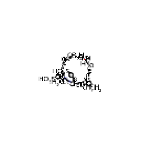 CCC1(C)C2=[N+](CCCCCC(=O)NCC(=O)NCCCCC(C(=O)O)NC(=O)CCCCCN3/C(=C/C=C4\CCCC(=C4Oc4ccc(S(=O)(=O)O)cc4)/C=C/2)C(C)(CC)c2cc(S(=O)(=O)O)ccc23)c2ccc(C)cc21